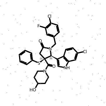 O=C1C[C@@](Sc2ccccc2)(C(=O)N2CCC(O)CC2)[C@H](c2c[nH]c3cc(Cl)ccc23)N1Cc1ccc(Cl)c(F)c1